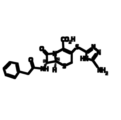 Nc1nnc(SC2=C(C(=O)O)N3C(=O)[C@@H](NC(=O)Cc4ccccc4)[C@@H]3SC2)[nH]1